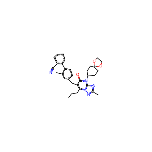 CCCc1c(Cc2ccc(-c3ccccc3C#N)c(C)c2)c(=O)n(C2CCC3(CC2)OCCO3)c2nc(C)nn12